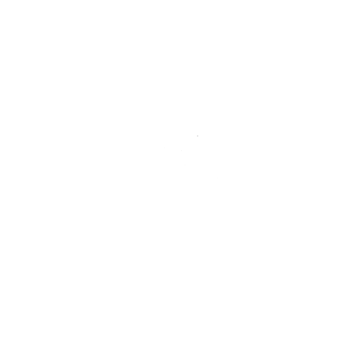 O=C(O)C1(Oc2ccccc2)CC1C1=CCC2=COCC2=C1